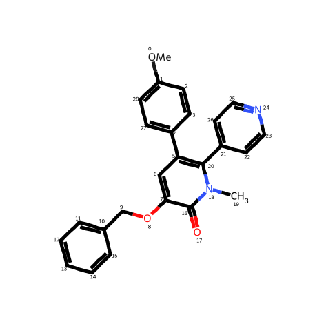 COc1ccc(-c2cc(OCc3ccccc3)c(=O)n(C)c2-c2ccncc2)cc1